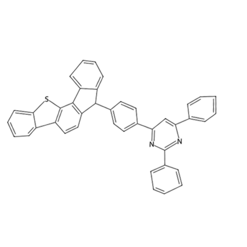 c1ccc(-c2cc(-c3ccc(C4c5ccccc5-c5c4ccc4c5sc5ccccc54)cc3)nc(-c3ccccc3)n2)cc1